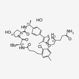 Cc1cc(CCCC(=O)N[C@H](C(=O)N2C[C@H](O)C[C@H]2C(=O)N[C@@H](C)c2ccc(-c3scnc3C)cc2)C(C)(C)C)c(Cl)c(OC[C@@H](N)CCC(N)=O)c1.Cl